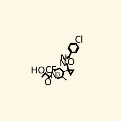 C[C@H]1CN(C(=O)C(C)(O)C(F)(F)F)CC[C@H]1C1(c2nnc(-c3ccc(Cl)cc3)o2)CC1